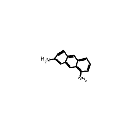 Nc1ccc2cc3cccc(N)c3cc2c1